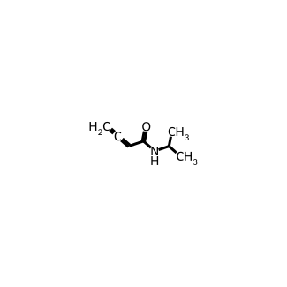 C=C=CC(=O)NC(C)C